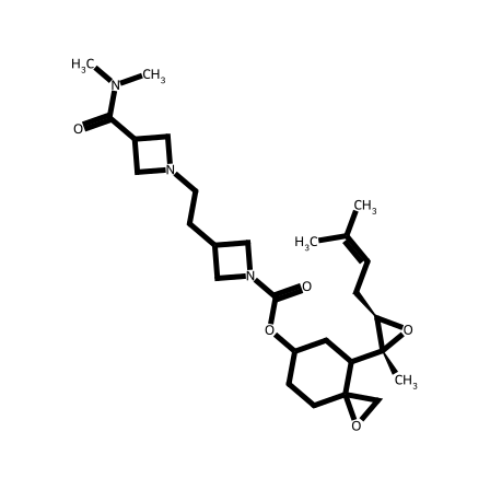 CC(C)=CC[C@H]1O[C@]1(C)C1CC(OC(=O)N2CC(CCN3CC(C(=O)N(C)C)C3)C2)CCC12CO2